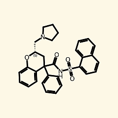 O=C(NS(=O)(=O)c1cccc2ccccc12)C1(c2ccccc2)C[C@@H](CN2CCCC2)Oc2ccccc21